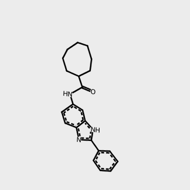 O=C(Nc1ccc2nc(-c3ccccc3)[nH]c2c1)C1CCCCCCC1